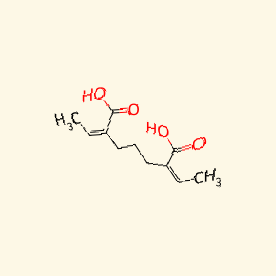 CC=C(CCCC(=CC)C(=O)O)C(=O)O